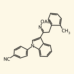 CC(=O)O/N=C(\Cc1ccccc1C)c1cn(-c2ccc(C#N)cc2)c2ccccc12